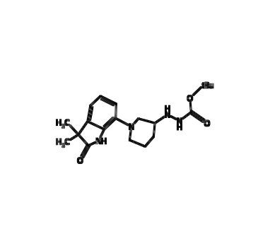 CC(C)(C)OC(=O)NNC1CCCN(c2cccc3c2NC(=O)C3(C)C)C1